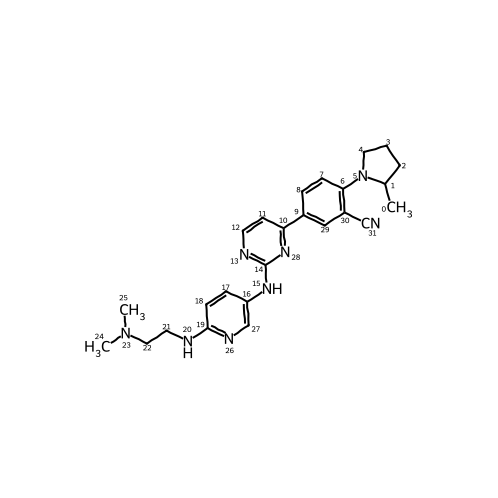 CC1CCCN1c1ccc(-c2ccnc(Nc3ccc(NCCN(C)C)nc3)n2)cc1C#N